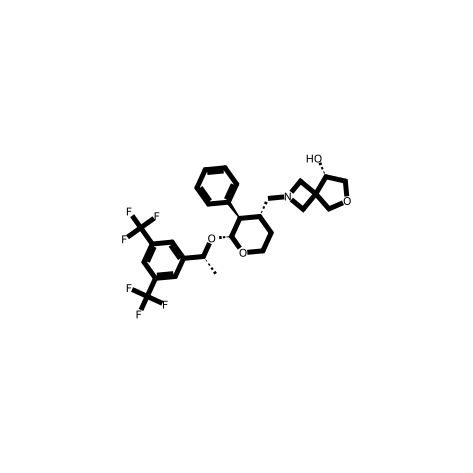 C[C@@H](O[C@H]1OCC[C@@H](CN2CC3(COC[C@H]3O)C2)[C@@H]1c1ccccc1)c1cc(C(F)(F)F)cc(C(F)(F)F)c1